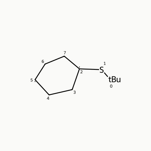 CC(C)(C)S[C]1CC[CH]CC1